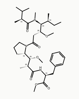 CC[C@H](C)[C@@H]([C@@H](CC(=O)N1CCC[C@H]1[C@H](OC)[C@@H](C)C(=O)N[C@@H](Cc1ccccc1)C(=O)OC)OC)N(C)C(=O)[C@@H](C)C(C)C